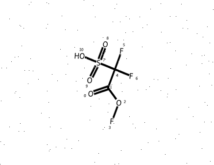 O=C(OF)C(F)(F)S(=O)(=O)O